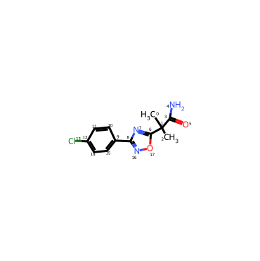 CC(C)(C(N)=O)c1nc(-c2ccc(Cl)cc2)no1